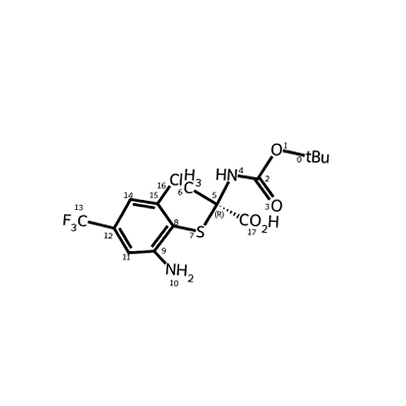 CC(C)(C)OC(=O)N[C@](C)(Sc1c(N)cc(C(F)(F)F)cc1Cl)C(=O)O